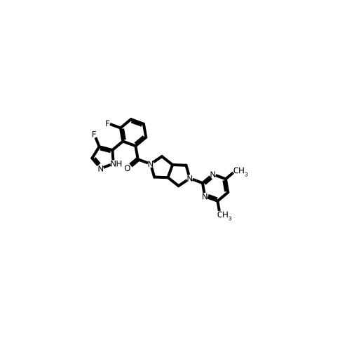 Cc1cc(C)nc(N2CC3CN(C(=O)c4cccc(F)c4-c4[nH]ncc4F)CC3C2)n1